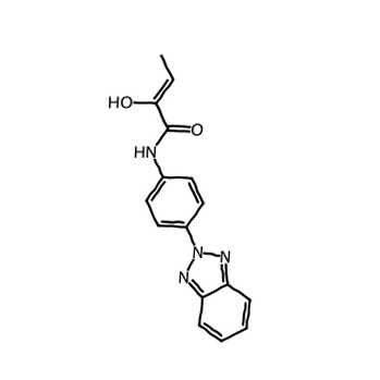 CC=C(O)C(=O)Nc1ccc(-n2nc3ccccc3n2)cc1